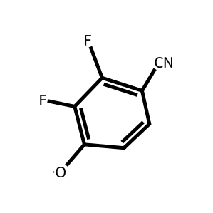 N#Cc1ccc([O])c(F)c1F